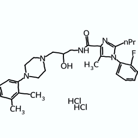 CCCc1nc(C(=O)NCC(O)CN2CCN(c3cccc(C)c3C)CC2)c(C)n1-c1ccccc1F.Cl.Cl